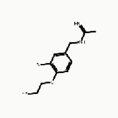 CC(=N)NCc1ccc(OCC[18F])c(Br)c1